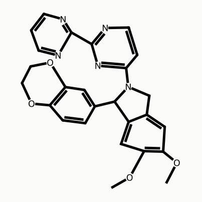 COc1cc2c(cc1OC)C(c1ccc3c(c1)OCCO3)N(c1ccnc(-c3ncccn3)n1)C2